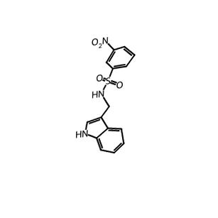 O=[N+]([O-])c1cccc(S(=O)(=O)NCc2c[nH]c3ccccc23)c1